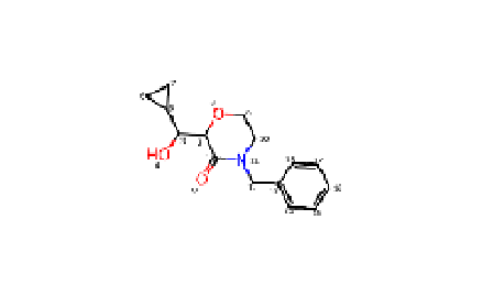 O=C1C(C(O)C2CC2)OCCN1Cc1ccccc1